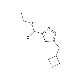 CCOC(=O)c1cn(CC2COC2)cn1